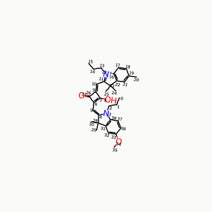 CCCN1/C(=C\C2=C(O)C(=C\C3=[N+](CCC)c4ccc(C)cc4C3(C)C)/C2=O)C(C)(C)c2cc(OC)ccc21